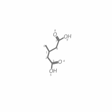 [CH2]C(CC(=O)O)CC(=O)O